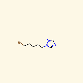 BrCCCCCn1cncn1